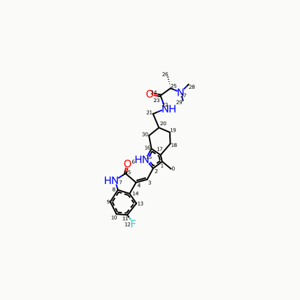 Cc1c(/C=C2\C(=O)Nc3ccc(F)cc32)[nH]c2c1CCC(CNC(=O)[C@H](C)N(C)C)C2